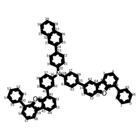 c1ccc(-c2cccc3c2oc2ccc(-c4ccc(N(c5ccc(-c6ccc7ccccc7c6)cc5)c5cccc(-c6cccc7c6oc6c(-c8ccccc8)cccc67)c5)cc4)cc23)cc1